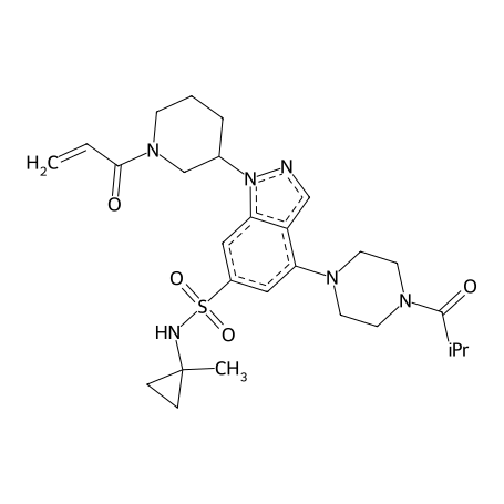 C=CC(=O)N1CCCC(n2ncc3c(N4CCN(C(=O)C(C)C)CC4)cc(S(=O)(=O)NC4(C)CC4)cc32)C1